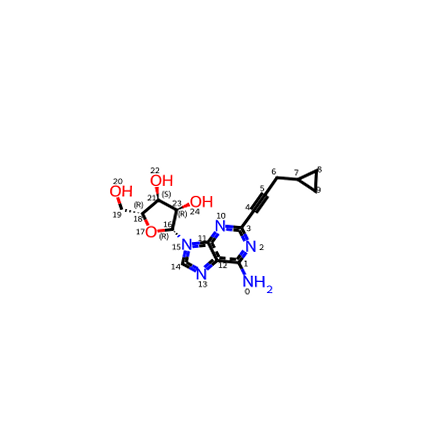 Nc1nc(C#CCC2CC2)nc2c1ncn2[C@@H]1O[C@H](CO)[C@@H](O)[C@H]1O